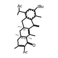 C=C1C2=C(C)[C@@]3(C)C(=O)C(C(C)=O)=C(C)C[C@@]3(C)C[C@@]2(C)Cc2c(C(C)C(C)=O)cc(C(C)(C)C)c(C)c21